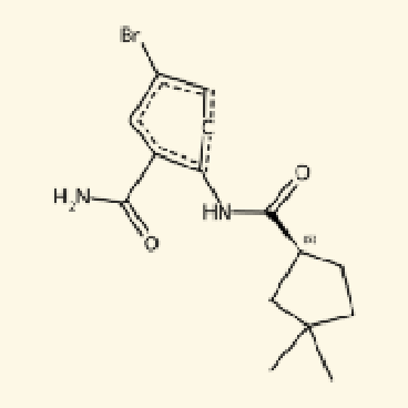 CC1(C)CC[C@H](C(=O)Nc2ccc(Br)cc2C(N)=O)C1